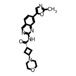 Cc1ncc(-c2ccc3cnc(NC(=O)[C@H]4C[C@H](N5CCOCC5)C4)nc3c2)o1